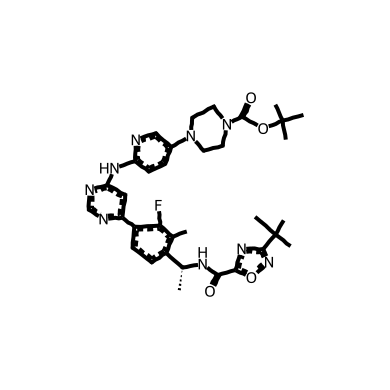 Cc1c([C@@H](C)NC(=O)c2nc(C(C)(C)C)no2)ccc(-c2cc(Nc3ccc(N4CCN(C(=O)OC(C)(C)C)CC4)cn3)ncn2)c1F